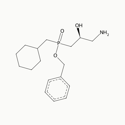 NC[C@H](O)CP(=O)(CC1CCCCC1)OCc1ccccc1